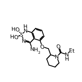 CCNC(=O)N1CCCCC1COc1cccc2c1C(N)=NS(O)(O)N2